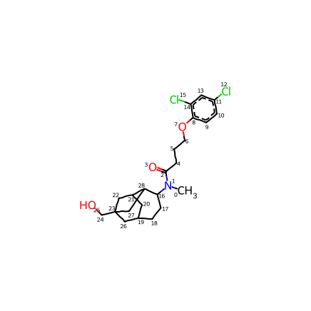 CN(C(=O)CCCOc1ccc(Cl)cc1Cl)C1CCC2CC3CC(CO)(C2)CC31